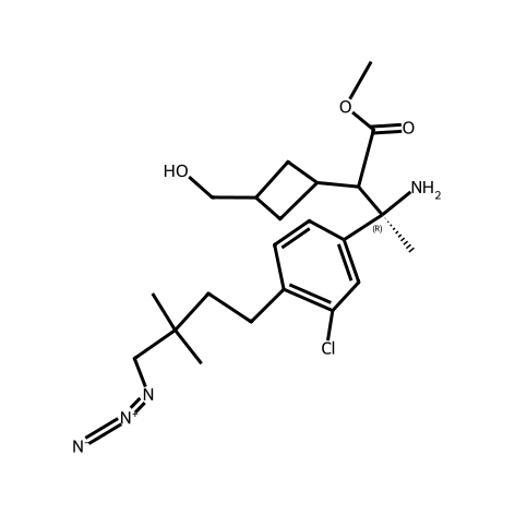 COC(=O)C(C1CC(CO)C1)[C@@](C)(N)c1ccc(CCC(C)(C)CN=[N+]=[N-])c(Cl)c1